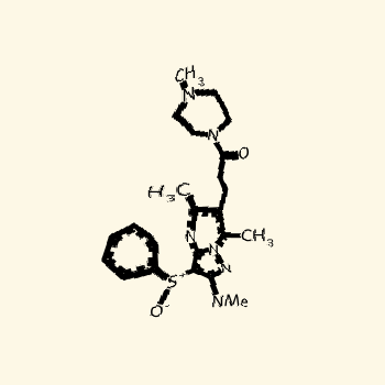 CNc1nn2c(C)c(CCC(=O)N3CCN(C)CC3)c(C)nc2c1[S+]([O-])c1ccccc1